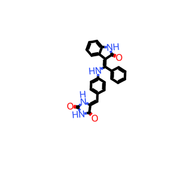 O=C1NC(=O)/C(=C/c2ccc(NC(=C3C(=O)Nc4ccccc43)c3ccccc3)cc2)N1